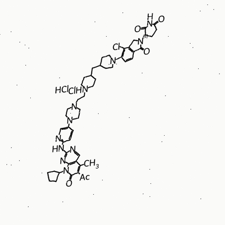 CC(=O)c1c(C)c2cnc(Nc3ccc(N4CCN(CCN5CCC(CC6CCN(c7ccc8c(c7Cl)CN([C@H]7CCC(=O)NC7=O)C8=O)CC6)CC5)CC4)cn3)nc2n(C2CCCC2)c1=O.Cl.Cl